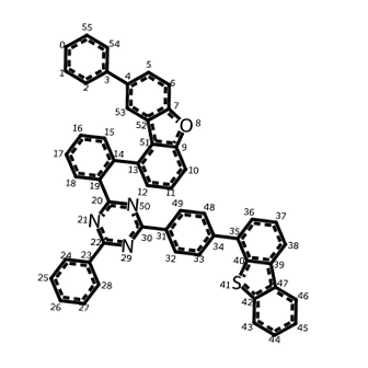 c1ccc(-c2ccc3oc4cccc(-c5ccccc5-c5nc(-c6ccccc6)nc(-c6ccc(-c7cccc8c7sc7ccccc78)cc6)n5)c4c3c2)cc1